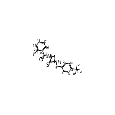 CC(C)(C)c1ccc(CNC(=S)NC(=O)c2ccccc2F)cc1